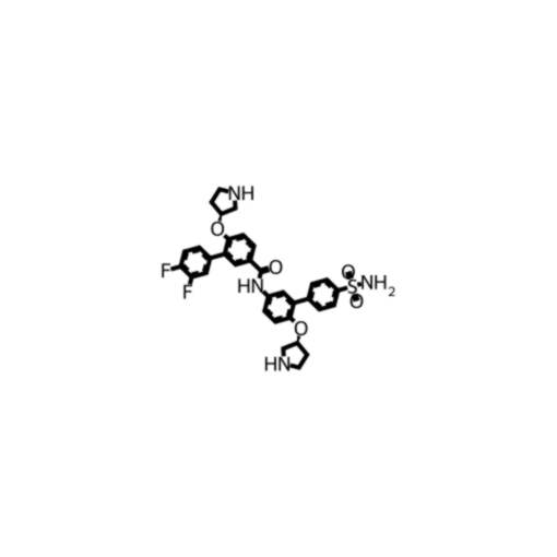 NS(=O)(=O)c1ccc(-c2cc(NC(=O)c3ccc(O[C@H]4CCNC4)c(-c4ccc(F)c(F)c4)c3)ccc2O[C@H]2CCNC2)cc1